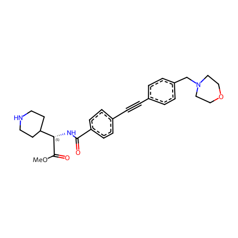 COC(=O)[C@@H](NC(=O)c1ccc(C#Cc2ccc(CN3CCOCC3)cc2)cc1)C1CCNCC1